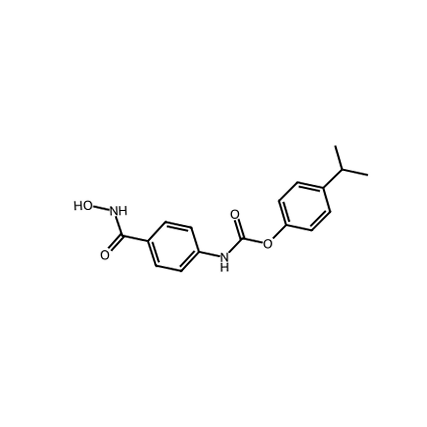 CC(C)c1ccc(OC(=O)Nc2ccc(C(=O)NO)cc2)cc1